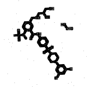 CN(c1ccc(CNCC(O)CO)cc1C(=O)Nc1ccc(S(=O)(=O)N2CCN(c3cc(Cl)cc(Cl)c3)CC2)cc1)S(C)(=O)=O.O=CO